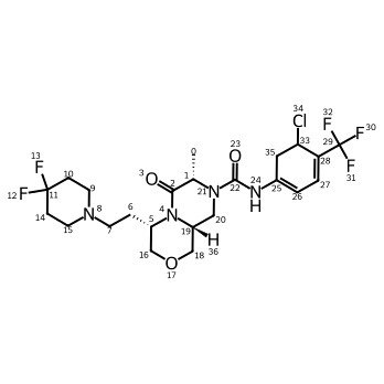 C[C@H]1C(=O)N2[C@@H](CCN3CCC(F)(F)CC3)COC[C@H]2CN1C(=O)NC1=CC=C(C(F)(F)F)C(Cl)C1